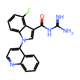 N=C(N)NC(=O)c1cn(-c2ccnc3ccccc23)c2cccc(F)c12